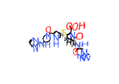 C[C@@H](NC(=O)Cn1cnnn1)[C@H]1C(=O)N2C(C(=O)O)=C(S[C@@H]3CNC(C(=O)N4CCC(Nc5ncccn5)CC4)C3)[C@H](C)[C@H]12